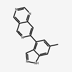 Cc1cc(-c2cc3ncncc3cn2)c2cn[nH]c2c1